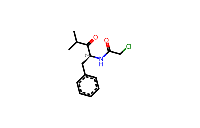 CC(C)C(=O)[C@H](Cc1ccccc1)NC(=O)CCl